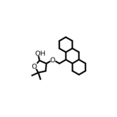 CC1(C)CC(OCC2C3CCCCC3CC3CCCCC32)C(O)O1